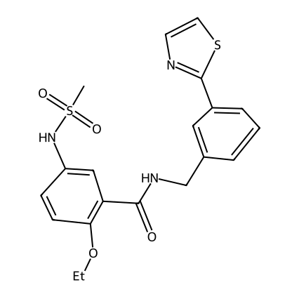 CCOc1ccc(NS(C)(=O)=O)cc1C(=O)NCc1cccc(-c2nccs2)c1